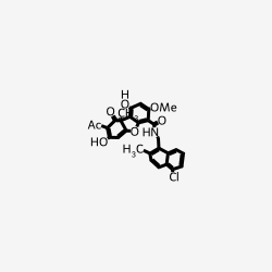 COc1cc(O)c2c(c1C(=O)NCc1c(C)ccc3c(Cl)cccc13)OC1=CC(O)=C(C(C)=O)C(=O)[C@]12C